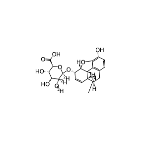 [2H]O[C@]1([2H])[C@@H](O)[C@H](O)[C@@H](C(=O)O)O[C@@]1([2H])O[C@H]1C=C[C@H]2[C@H]3Cc4ccc(O)c5c4[C@@]2(CCN3C)[C@H]1O5